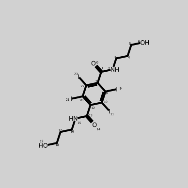 O=C(NCCCO)c1c(I)c(I)c(C(=O)NCCCO)c(I)c1I